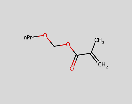 C=C(C)C(=O)OCOCCC